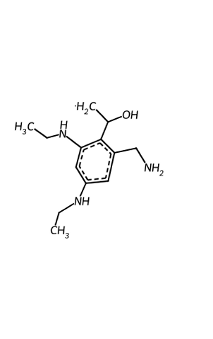 [CH2]C(O)c1c(CN)cc(NCC)cc1NCC